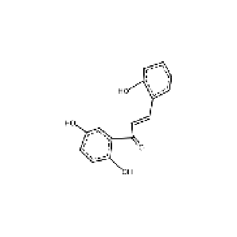 O=C(C=Cc1ccccc1O)c1cc(O)ccc1O